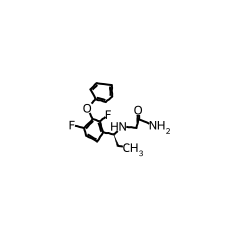 CC[C@H](NCC(N)=O)c1ccc(F)c(Oc2ccccc2)c1F